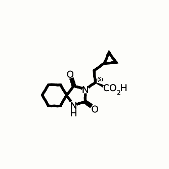 O=C(O)[C@H](CC1CC1)N1C(=O)NC2(CCCCC2)C1=O